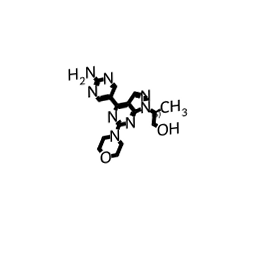 C[C@@H](CO)n1ncc2c(-c3cnc(N)nc3)nc(N3CCOCC3)nc21